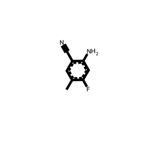 Cc1cc(C#N)c(N)cc1F